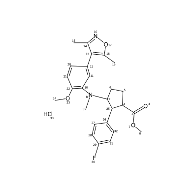 COC(=O)C1CCC(N(C)c2cc(-c3c(C)noc3C)ccc2OC)C1c1ccc(F)cc1.Cl